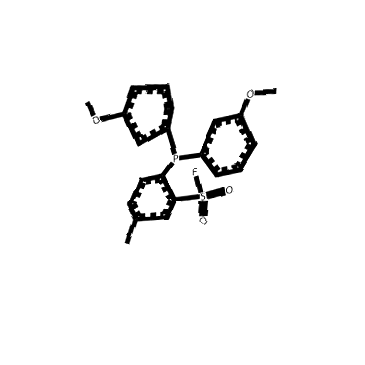 COc1cccc(P(c2cccc(OC)c2)c2ccc(C)cc2S(=O)(=O)F)c1